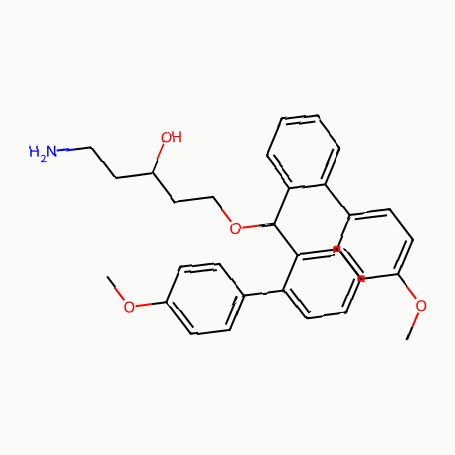 COc1ccc(-c2ccccc2C(OCCC(O)CCN)c2ccccc2-c2ccc(OC)cc2)cc1